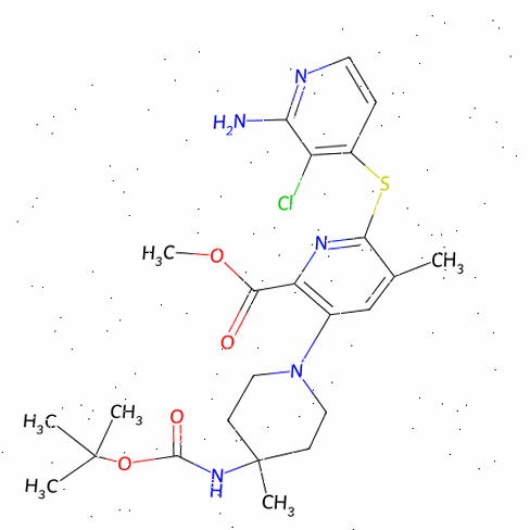 COC(=O)c1nc(Sc2ccnc(N)c2Cl)c(C)cc1N1CCC(C)(NC(=O)OC(C)(C)C)CC1